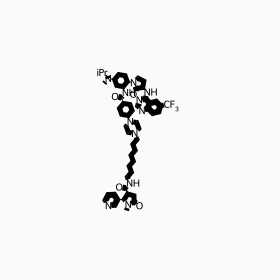 CC(C)N(C)[C@@H]1CC[C@H](N2CC[C@H](Nc3ncnc4ccc(C(F)(F)F)cc34)C2=O)[C@H](NC(=O)[C@H]2CC[C@H](N3CCN(CCCCCCCCNC(=O)[C@H]4CC(=O)N(C)[C@@H]4c4cccnc4)CC3)CC2)C1